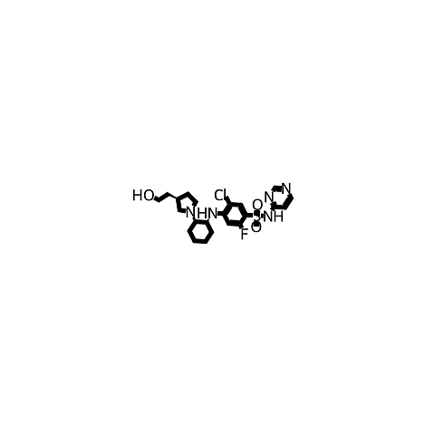 O=S(=O)(Nc1ccncn1)c1cc(Cl)c(N[C@@H]2CCCC[C@H]2N2CC[C@H](CCO)C2)cc1F